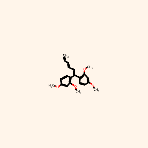 C=CC=CC=C(c1ccc(OC)cc1OC)c1ccc(OC)cc1OC